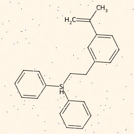 C=C(C)c1cccc(CC[SiH](c2ccccc2)c2ccccc2)c1